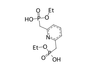 CCOP(=O)(O)Cc1cccc(CP(=O)(O)OCC)n1